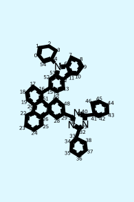 C1=CCCC(n2c3ccccc3c3ccc(-c4cccc5c6ccccc6c6cc(-c7nc(-c8ccccc8)nc(-c8ccccc8)n7)ccc6c45)cc32)=C1